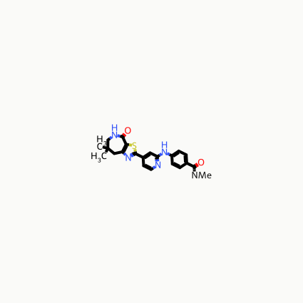 CNC(=O)c1ccc(Nc2cc(-c3nc4c(s3)C(=O)NCC(C)(C)C4)ccn2)cc1